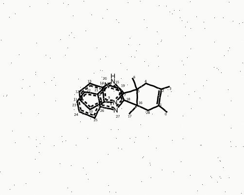 CC1=C(C)CC(C)(c2nc3ccccc3[nH]2)C(C)(c2cnc3ccccc3n2)C1